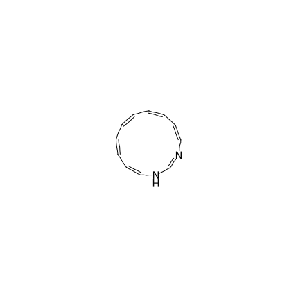 c1ccccc[nH]cncccc1